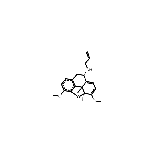 C=CCN[C@H]1Cc2ccc(OC)c3c2C2(C)C1=CC=C(OC)[C@H]2O3